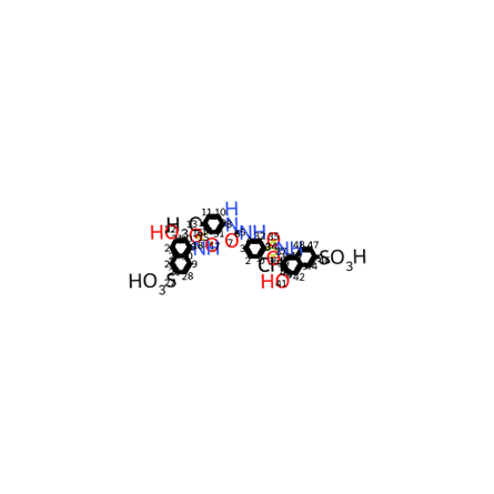 Cc1ccc(NC(=O)Nc2ccc(C)c(S(=O)(=O)Nc3cc(O)cc4cc(S(=O)(=O)O)ccc34)c2)cc1S(=O)(=O)Nc1cc(O)cc2cc(S(=O)(=O)O)ccc12